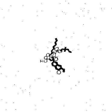 C=CCCCCCC(NC(=O)OCC(C)(C)CC=C)C(=O)N1C[C@](OC)(c2ccc3cc(OC)c(C=C)cc3c2)C[C@H]1C(=O)O